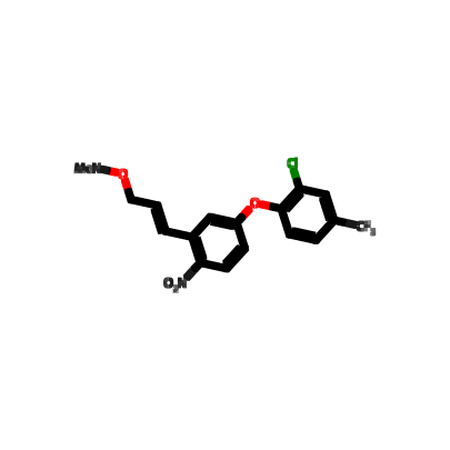 CNOCC=Cc1cc(Oc2ccc(C(F)(F)F)cc2Cl)ccc1[N+](=O)[O-]